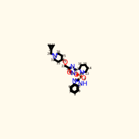 O=S(=O)(c1nc2ccccc2[nH]1)N1CCCC[C@H]1c1noc(COC2CCN(CC3CC3)CC2)n1